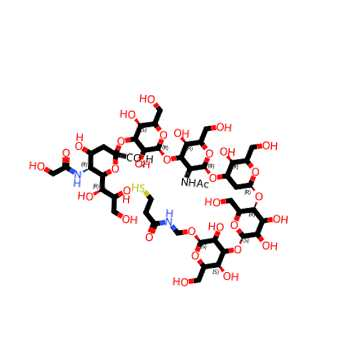 CC(=O)NC1C(O[C@@H]2OC(CO)[C@H](O)C(OC3(C(=O)O)CC(O)[C@@H](NC(=O)CO)C([C@H](O)C(O)CO)O3)C2O)[C@@H](O)C(CO)O[C@H]1OC1C[C@@H](O[C@H]2C(CO)O[C@@H](OC3C(O)[C@H](OCNC(=O)CCS)OC(CO)[C@@H]3O)C(O)C2O)OC(CO)[C@@H]1O